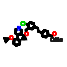 COC(=O)c1ccc(CCc2ccc(Cl)c(COC3(c4cnccc4-c4ccccc4OC4CC4)CC3)c2)cc1